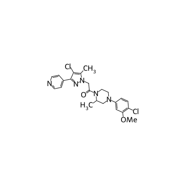 COc1cc(N2CCN(C(=O)Cn3nc(-c4ccncc4)c(Cl)c3C)C(C)C2)ccc1Cl